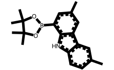 Cc1ccc2[nH]c3c(B4OC(C)(C)C(C)(C)O4)cc(C)cc3c2c1